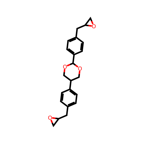 c1cc(C2COC(c3ccc(CC4CO4)cc3)OC2)ccc1CC1CO1